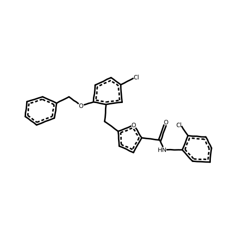 O=C(Nc1ccccc1Cl)c1ccc(Cc2cc(Cl)ccc2OCc2ccccc2)o1